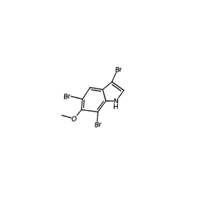 COc1c(Br)cc2c(Br)c[nH]c2c1Br